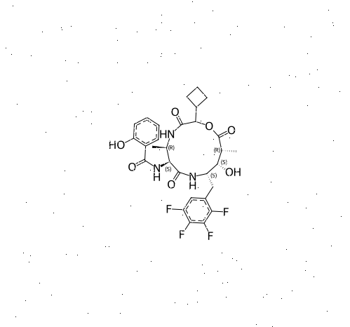 C[C@H]1NC(=O)C(C2CCC2)OC(=O)[C@H](C)[C@H](O)[C@H](Cc2cc(F)c(F)c(F)c2F)NC(=O)[C@H]1NC(=O)c1ccccc1O